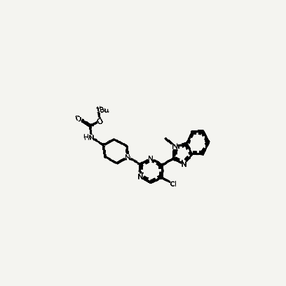 Cn1c(-c2nc(N3CCC(NC(=O)OC(C)(C)C)CC3)ncc2Cl)nc2ccccc21